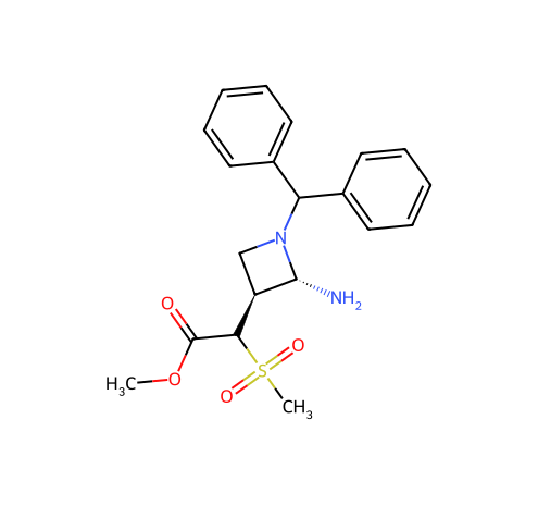 COC(=O)C([C@H]1CN(C(c2ccccc2)c2ccccc2)[C@@H]1N)S(C)(=O)=O